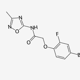 Cc1noc(NC(=O)COc2ccc(Br)cc2F)n1